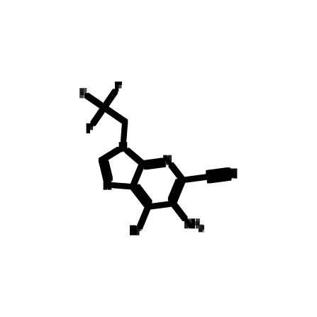 N#Cc1nc2c(ncn2CC(F)(F)F)c(Br)c1N